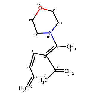 C=C/C=C\C(C(=C)C)=C(\C)N1CCOCC1